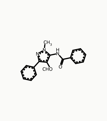 Cn1nc(-c2ccccc2)c(C=O)c1NC(=O)c1ccccc1